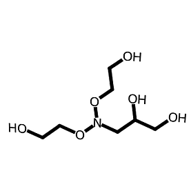 OCCON(CC(O)CO)OCCO